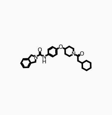 O=C(CC1CCCCC1)N1CCC(Oc2ccc(NC(=O)N3Cc4ccccc4C3)cc2)CC1